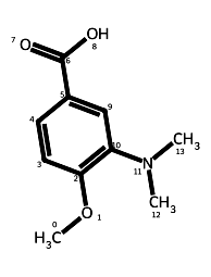 COc1ccc(C(=O)O)cc1N(C)C